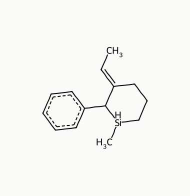 CC=C1CCC[SiH](C)C1c1ccccc1